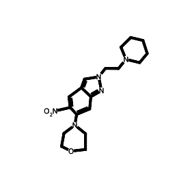 O=[N+]([O-])c1cc2cn(CCN3CCCCC3)nc2cc1N1CCOCC1